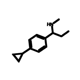 CCC(NC)c1ccc(C2CC2)cc1